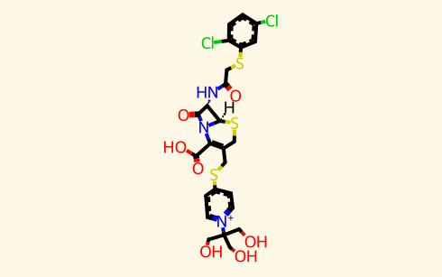 O=C(CSc1cc(Cl)ccc1Cl)N[C@H]1C(=O)N2C(C(=O)O)=C(CSc3cc[n+](C(CO)(CO)CO)cc3)CS[C@H]12